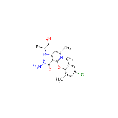 CC[C@@H](CO)Nc1cc(C)nc(Oc2c(C)cc(Cl)cc2C)c1C(=O)NN